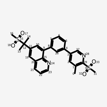 Cc1cc(-c2cccc(-c3cc(C(C)(C)S(C)(=O)=O)cc4cccnc34)c2)cnc1S(C)(=O)=O